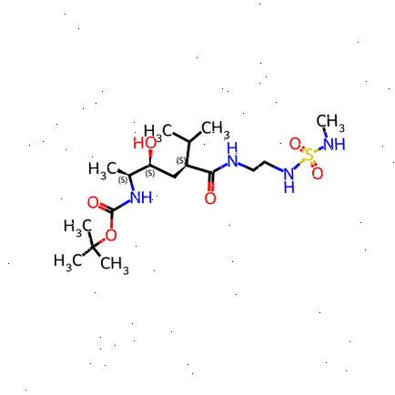 CNS(=O)(=O)NCCNC(=O)[C@@H](C[C@H](O)[C@H](C)NC(=O)OC(C)(C)C)C(C)C